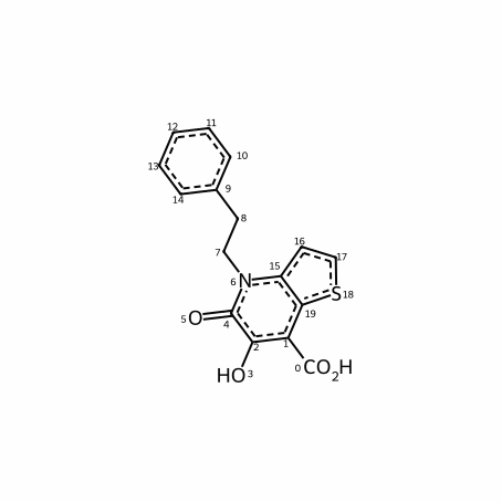 O=C(O)c1c(O)c(=O)n(CCc2ccccc2)c2ccsc12